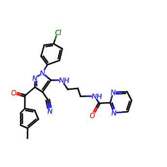 Cc1ccc(C(=O)c2nn(-c3ccc(Cl)cc3)c(NCCCNC(=O)c3ncccn3)c2C#N)cc1